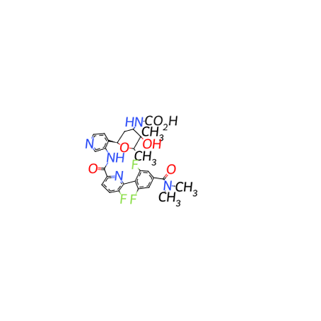 CC1O[C@@H](c2ccncc2NC(=O)c2ccc(F)c(-c3c(F)cc(C(=O)N(C)C)cc3F)n2)C[C@@H](NC(=O)O)[C@]1(C)O